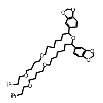 CC(C)CCOCCCCOCCCCCCC(OC(CCCCCCOCCCCOCCC(C)C)c1ccc2c(c1)OCO2)c1ccc2c(c1)OCO2